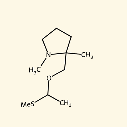 CSC(C)OCC1(C)CCCN1C